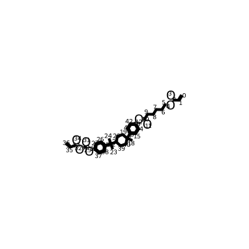 C=CC(=O)OCCCCCC(=O)Oc1ccc(C2(C)CCC(C(C)(C)c3ccc(OC(=O)OC(=O)C=C)cc3)CC2)cc1